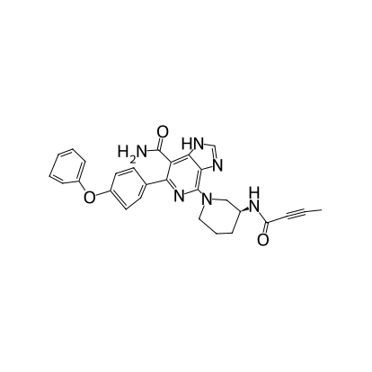 CC#CC(=O)N[C@H]1CCCN(c2nc(-c3ccc(Oc4ccccc4)cc3)c(C(N)=O)c3[nH]cnc23)C1